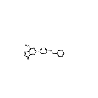 Nc1nc(-c2ccc(OCc3ccccc3)cc2)nc2[nH]cnc12